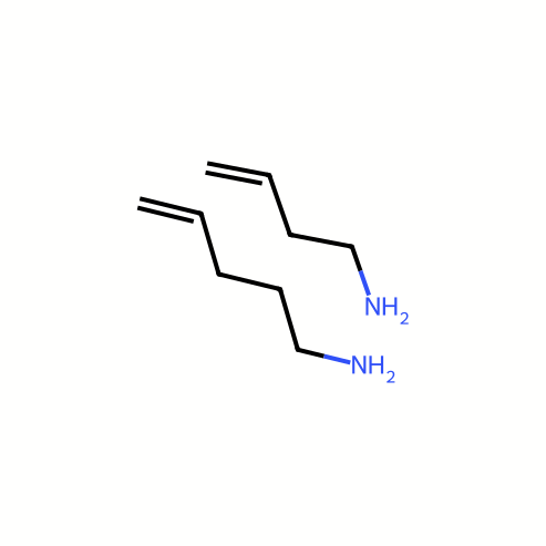 C=CCCCN.C=CCCN